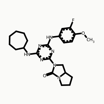 COc1ccc(Nc2nc(NC3CCCCCC3)nc(N3CC4CCCN4C3=O)n2)cc1F